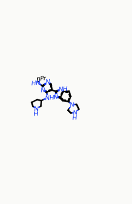 CCCNc1ncc(-c2nc3cc(N4CCNCC4)ccc3[nH]2)c(NC2CCCNC2)n1